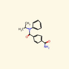 CC(C)N(C(=O)c1ccc(C(N)=O)cc1)c1ccccc1